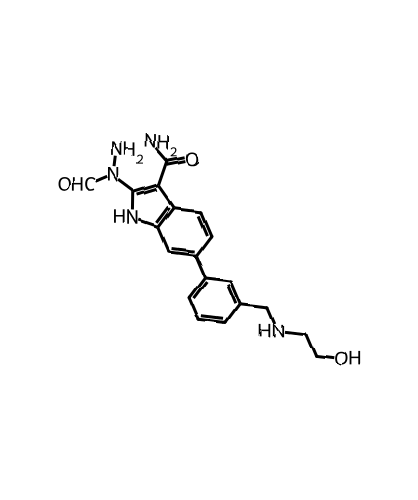 NC(=O)c1c(N(N)C=O)[nH]c2cc(-c3cccc(CNCCO)c3)ccc12